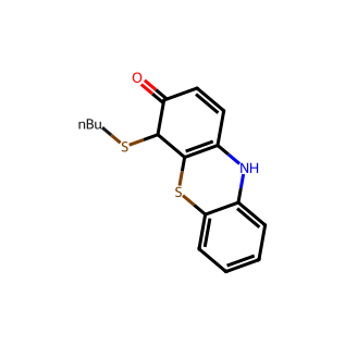 CCCCSC1C(=O)C=CC2=C1Sc1ccccc1N2